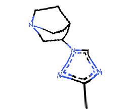 Cc1ncn(C2CN3CCC2C3)n1